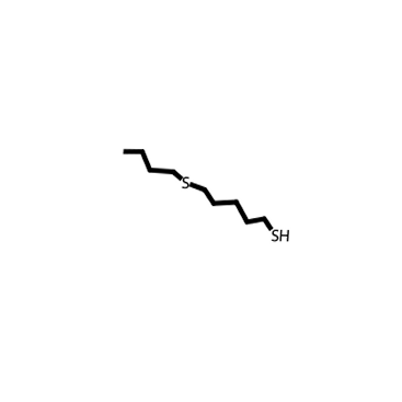 CCCCSCCCCCS